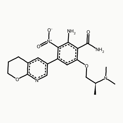 C[C@@H](COc1cc(-c2cnc3c(c2)CCCO3)c([N+](=O)[O-])c(N)c1C(N)=O)N(C)C